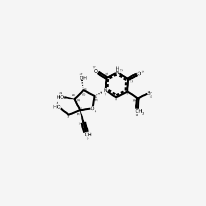 C#C[C@]1(CO)O[C@@H](n2cc(C(=C)Br)c(=O)[nH]c2=O)[C@@H](O)[C@@H]1O